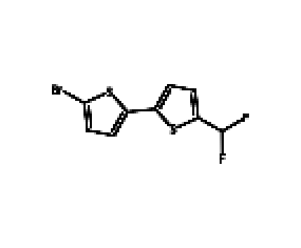 FC(F)c1ccc(-c2ccc(Br)s2)s1